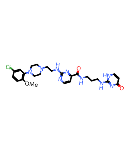 COc1ccc(Cl)cc1N1CCN(CCNc2nccc(C(=O)NCCCNc3nc(=O)cc[nH]3)n2)CC1